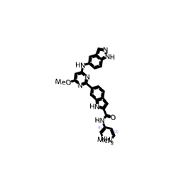 CN/C=C\C(=C/N)NC(=O)c1cc2ccc(-c3nc(Nc4ccc5[nH]ncc5c4)cc(OC)n3)cc2[nH]1